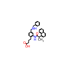 CC(C(=O)Nc1cc(CNCc2ccccc2)ccc1CCCC(=O)O)c1cccc2ccccc12